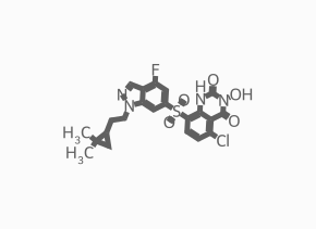 CC1(C)CC1CCn1ncc2c(F)cc(S(=O)(=O)c3ccc(Cl)c4c(=O)n(O)c(=O)[nH]c34)cc21